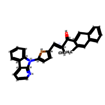 Cc1cc2ccccc2cc1C(=O)/C(C=O)=C/c1ccc(-n2c3ccccc3c3cccnc32)s1